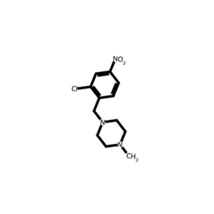 CN1CCN(Cc2ccc([N+](=O)[O-])cc2Cl)CC1